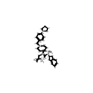 CN(C(=O)N(CC1(C)CO1)C1(C=O)CCN(Cc2ccc(N3CCCC3)cc2)CC1)C1Cc2ccccc2C1